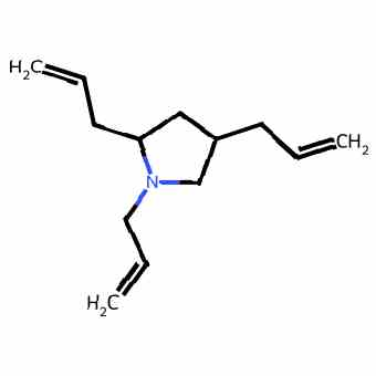 C=CCC1CC(CC=C)N(CC=C)C1